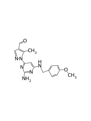 COc1ccc(CNc2cc(-n3ncc(C=O)c3C)nc(N)n2)cc1